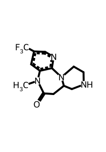 CN1C(=O)CC2CNCCN2c2ncc(C(F)(F)F)cc21